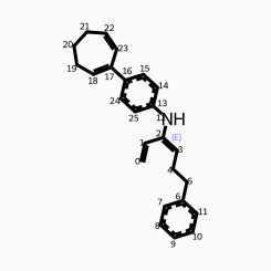 C=C/C(=C\CCc1ccccc1)Nc1ccc(C2=CCCCC=C2)cc1